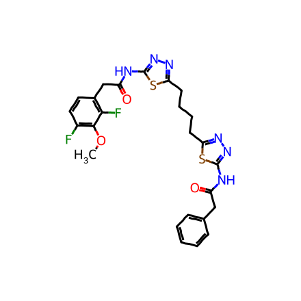 COc1c(F)ccc(CC(=O)Nc2nnc(CCCCc3nnc(NC(=O)Cc4ccccc4)s3)s2)c1F